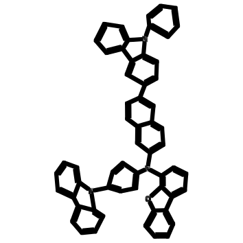 c1ccc(-n2c3ccccc3c3cc(-c4ccc5cc(N(c6ccc(-n7c8ccccc8c8ccccc87)cc6)c6cccc7c6oc6ccccc67)ccc5c4)ccc32)cc1